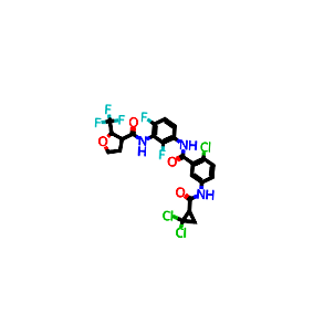 O=C(Nc1ccc(F)c(NC(=O)C2CCOC2C(F)(F)F)c1F)c1cc(NC(=O)C2CC2(Cl)Cl)ccc1Cl